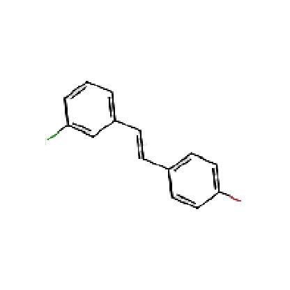 Clc1cccc(/C=C/c2ccc(Br)cc2)c1